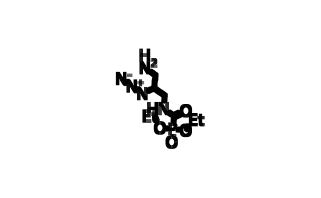 CCOP(=O)(OCC)C(=O)NCC(CN)N=[N+]=[N-]